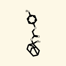 CCC(C)c1ccc(OCC(=O)OC2(C(C)CC)C3CC4CC(C3)CC2C4)cc1